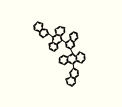 c1ccc2cc(-c3c4ccccc4c(-c4cc(-c5c6ccccc6c(-c6ccc7ccccc7c6)c6ccccc56)c5ccccc5c4)c4ccccc34)ccc2c1